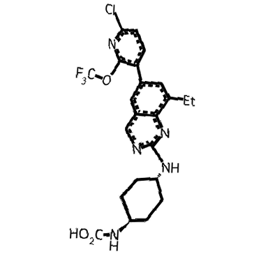 CCc1cc(-c2ccc(Cl)nc2OC(F)(F)F)cc2cnc(N[C@H]3CC[C@H](NC(=O)O)CC3)nc12